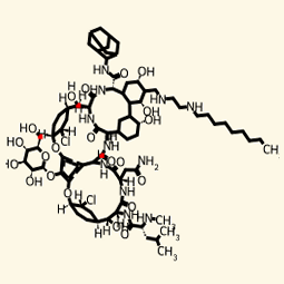 CCCCCCCCCNCCNCC1[C@H](O)C2C3C[C@H](CC[C@H]3O)[C@H]3NC(=O)[C@@H]4NC(=O)[C@H](CC(N)=O)NC(=O)[C@H](NC(=O)[C@@H](CC(C)C)NC)[C@H](O)[C@H]5CC[C@@H](Oc6cc4cc(c6O[C@@H]4O[C@H](CO)[C@@H](O)[C@H](O)[C@H]4O)O[C@@H]4CC[C@@H](C[C@@H]4Cl)[C@@H](O)[C@H](NC3=O)C(=O)N[C@H](C(=O)NC3C4CC6CC(C4)CC3C6)C2C[C@@H]1O)[C@H](Cl)C5